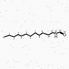 CCCCCCCCCCCCN[C]=O